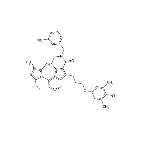 Cc1cc(OCCCc2c3n(c4c(-c5c(C)nn(C)c5C)cccc24)CCN(Cc2cccc(C#N)c2)C3=O)cc(C)c1Cl